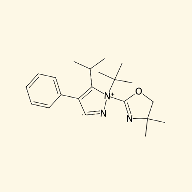 CC(C)C1=C(c2ccccc2)[C]=N[N+]1(C1=NC(C)(C)CO1)C(C)(C)C